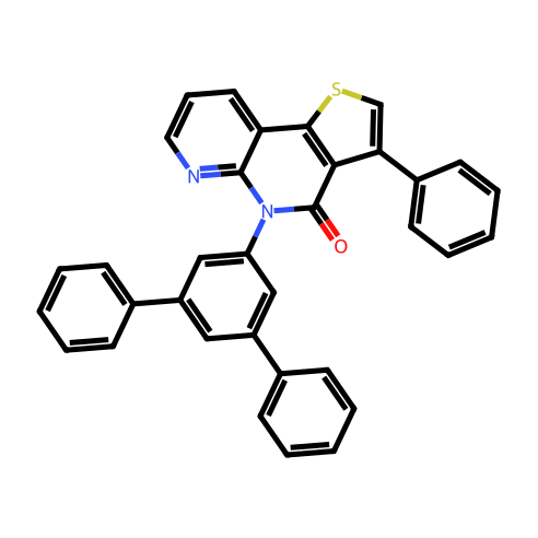 O=c1c2c(-c3ccccc3)csc2c2cccnc2n1-c1cc(-c2ccccc2)cc(-c2ccccc2)c1